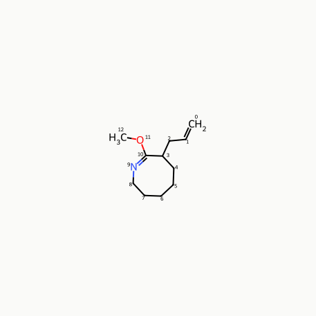 C=CCC1CCCCC/N=C\1OC